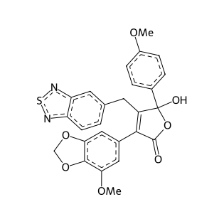 COc1ccc(C2(O)OC(=O)C(c3cc(OC)c4c(c3)OCO4)=C2Cc2ccc3nsnc3c2)cc1